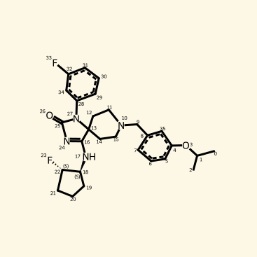 CC(C)Oc1cccc(CN2CCC3(CC2)C(N[C@H]2CCC[C@@H]2F)=NC(=O)N3c2cccc(F)c2)c1